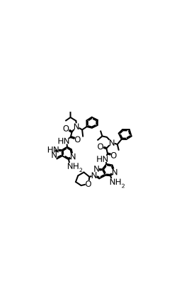 CC(C)CN(C(=O)C(=O)Nc1cnc(N)c2cn(C3CCCCO3)nc12)C(C)c1ccccc1.CC(C)CN(C(=O)C(=O)Nc1cnc(N)c2cn[nH]c12)C(C)c1ccccc1